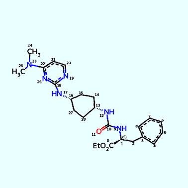 CCOC(=O)[C@H](Cc1ccccc1)NC(=O)N[C@H]1CC[C@@H](Nc2nccc(N(C)C)n2)CC1